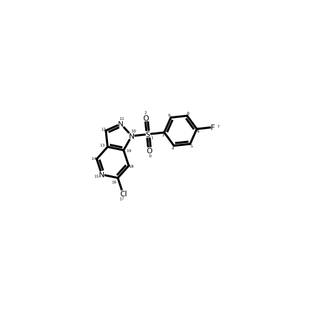 O=S(=O)(c1ccc(F)cc1)n1ncc2cnc(Cl)cc21